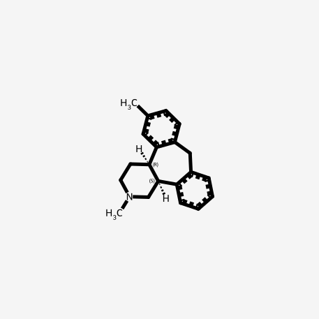 Cc1ccc2c(c1)[C@@H]1CCN(C)C[C@@H]1c1ccccc1C2